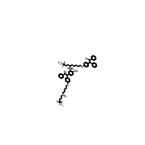 CCC(=C(c1ccccc1)c1ccc(OCCCCCC(CCC(F)(F)C(F)(F)F)S(=O)(=O)c2cc(C(=C(CC)c3ccccc3)c3ccc(OCCCCC[S+]([O-])CCCC(F)(F)C(F)(F)F)cc3)ccc2O)cc1)c1ccccc1